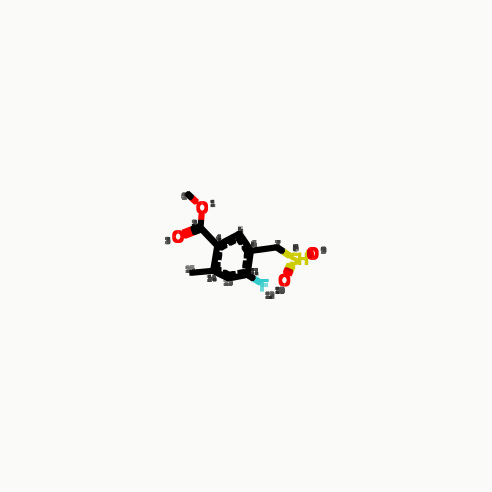 COC(=O)c1cc(C[SH](=O)=O)c(F)cc1C